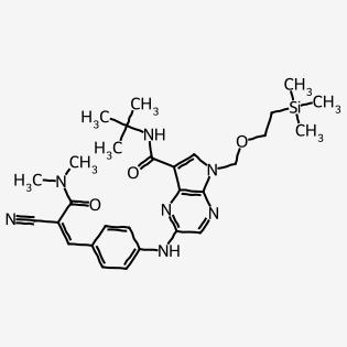 CN(C)C(=O)C(C#N)=Cc1ccc(Nc2cnc3c(n2)c(C(=O)NC(C)(C)C)cn3COCC[Si](C)(C)C)cc1